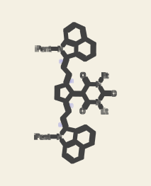 CCCC(C)n1/c(=C/C=C2C=C/C(=C\C=c3/c4cccc5cccc(c54)n3C(C)CCC)C\2=C2C(=O)N(CC)C(=O)N(CC)C2=O)c2cccc3cccc1c32